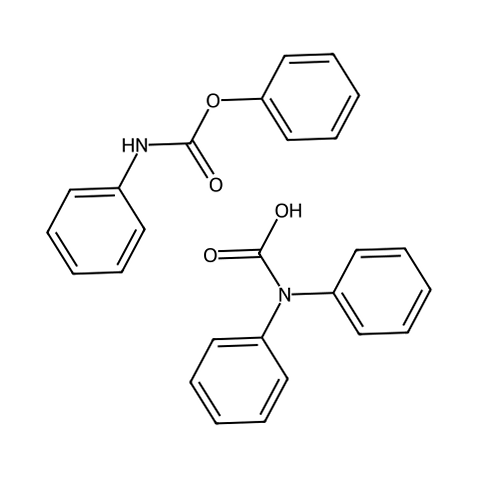 O=C(Nc1ccccc1)Oc1ccccc1.O=C(O)N(c1ccccc1)c1ccccc1